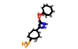 PC1CCCC(c2cc(OC3CCCCCCC3)n[nH]2)CCC1